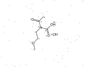 COCCN(C(C)=O)C(=O)O.Cl